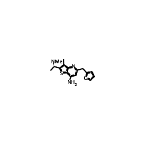 CN[C@@H](C)c1sc2c(N)cc(Cc3ccco3)nc2c1C